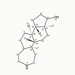 C[C@]12CCNCCC1CC[C@@H]1[C@@H]2CC[C@]2(C)C(O)CC[C@@H]12